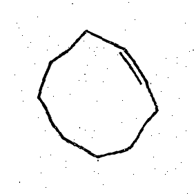 [CH]1CCC=CCCCC1